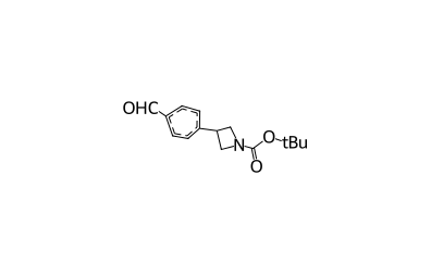 CC(C)(C)OC(=O)N1CC(c2ccc(C=O)cc2)C1